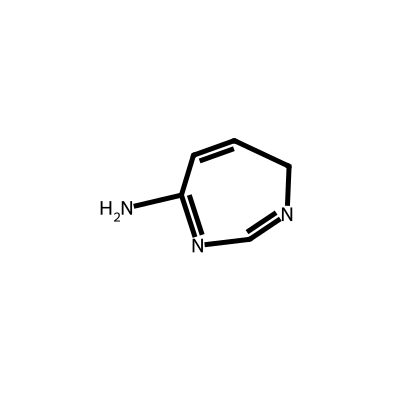 NC1=NC=NCC=C1